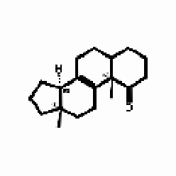 C[C@]12C(=O)CCCC1CCC1=C2CC[C@]2(C)CCC[C@@H]12